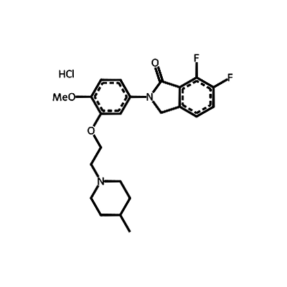 COc1ccc(N2Cc3ccc(F)c(F)c3C2=O)cc1OCCN1CCC(C)CC1.Cl